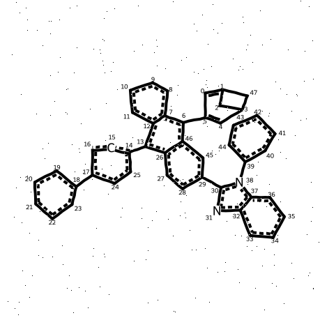 C1=C2CC(C=C1c1c3ccccc3c(-c3ccc(-c4ccccc4)cc3)c3ccc(-c4nc5ccccc5n4-c4ccccc4)cc13)C2